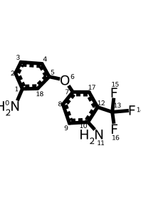 Nc1cccc(Oc2ccc(N)c(C(F)(F)F)c2)c1